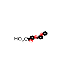 O=C(O)CC1COc2cc(OCc3cccc(Oc4ccccc4)c3)ccc21